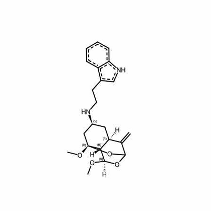 C=C1C2O[C@@H](OC)[C@H]3[C@H]1C[C@H](NCCc1c[nH]c4ccccc14)C[C@@]3(OC)O2